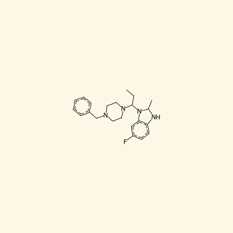 CCC(N1CCN(Cc2ccccc2)CC1)N1c2cc(F)ccc2NC1C